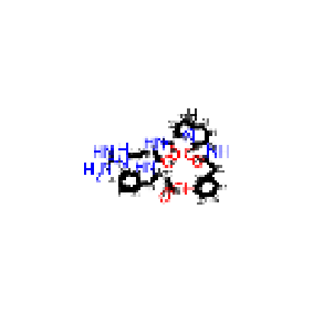 N=C(N)NCCC[C@H](NC(=O)[C@@H]1CC[C@@H]2CCC(NC(=O)Cc3ccccc3)C(=O)N21)C(=O)N[C@H](CC(=O)O)Cc1ccccc1